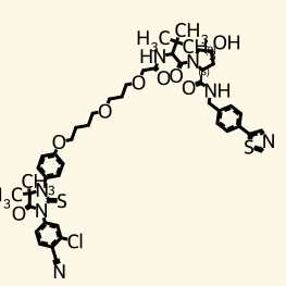 CC(C)(C)C(NC(=O)COCCCOCCCCOc1ccc(N2C(=S)N(c3ccc(C#N)c(Cl)c3)C(=O)C2(C)C)cc1)C(=O)N1C[C@H](O)C[C@H]1C(=O)NCc1ccc(-c2cncs2)cc1